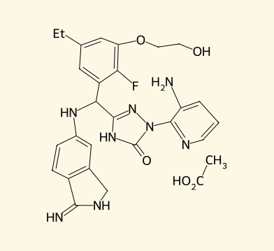 CC(=O)O.CCc1cc(OCCO)c(F)c(C(Nc2ccc3c(c2)CNC3=N)c2nn(-c3ncccc3N)c(=O)[nH]2)c1